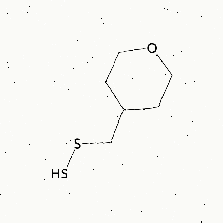 SSCC1CCOCC1